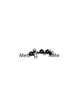 CNC(=O)c1cc(Oc2cccc(CCNC(=O)c3ccc(OC)cc3C)c2)ccn1